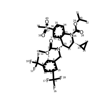 COC(=O)N(Cc1cc(C(F)(F)F)cc(C(F)(F)F)c1)[C@H]1C[C@@H](C2CC2)N(C(=O)OC(C)C)c2ccc(S(C)(=O)=O)cc21